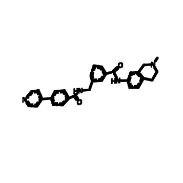 CN1CCc2ccc(NC(=O)c3cccc(CNC(=O)c4ccc(-c5ccncc5)cc4)c3)cc2C1